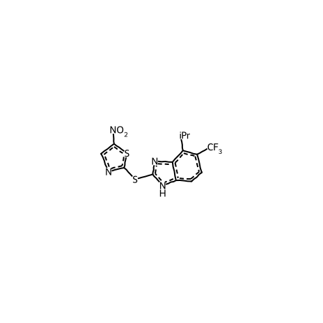 CC(C)c1c(C(F)(F)F)ccc2[nH]c(Sc3ncc([N+](=O)[O-])s3)nc12